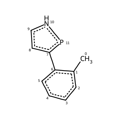 Cc1ccccc1-c1cc[nH]p1